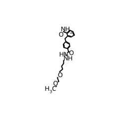 CCOCCOCCCCCNNC(=O)c1ccc(Cc2ccccc2C(N)=O)cc1